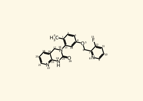 Cc1ccc(OCc2ncccc2F)cc1N1Cc2cccnc2NC1=O